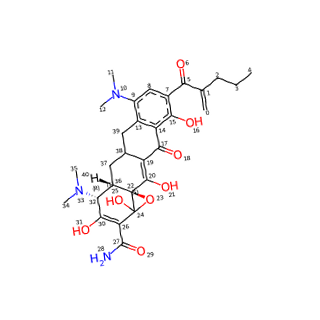 C=C(CCC)C(=O)c1cc(N(C)C)c2c(c1O)C(=O)C1=C(O)[C@]34OC3(O)C(C(N)=O)=C(O)[C@H](N(C)C)[C@@H]4CC1C2